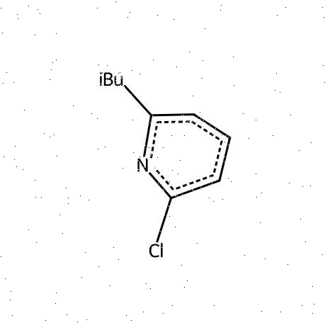 CCC(C)c1cccc(Cl)n1